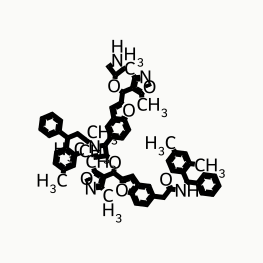 Cc1ccc(C(CC(C)(C)N2CC(OC(c3cc4cc(CC(=O)NC(c5ccccc5)c5ccc(C)cc5C)ccc4o3)c3c(C)noc3C)C2c2ccc3oc(C(OC4CNC4)c4c(C)noc4C)cc3c2)c2ccccc2)c(C)c1